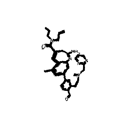 CCCN(CCC)C(=O)C1=Cc2c(C)cc(-c3ccc(C=O)c(/C=C\N(C)Cc4ncccn4)c3)cc2N=C(N)C1